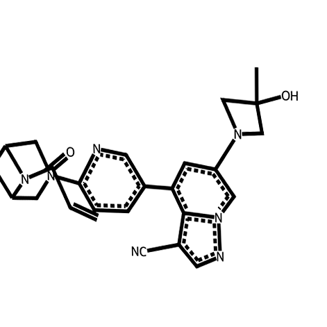 C=CC(=O)N1C2CC1CN(c1ccc(-c3cc(N4CC(C)(O)C4)cn4ncc(C#N)c34)cn1)C2